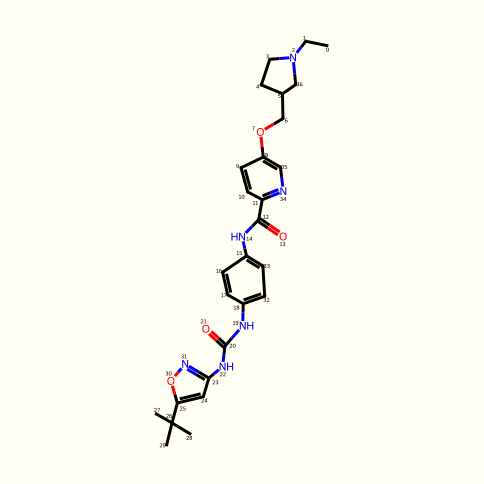 CCN1CCC(COc2ccc(C(=O)Nc3ccc(NC(=O)Nc4cc(C(C)(C)C)on4)cc3)nc2)C1